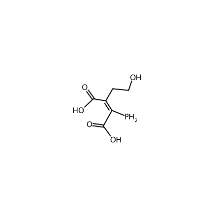 O=C(O)C(P)=C(CCO)C(=O)O